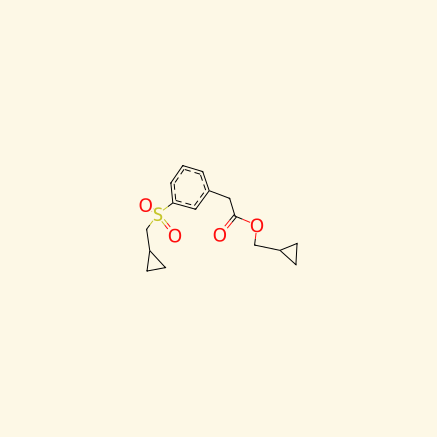 O=C(Cc1cccc(S(=O)(=O)CC2CC2)c1)OCC1CC1